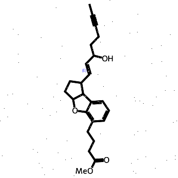 CC#CCCC(O)/C=C/C1CCC2Oc3c(CCCC(=O)OC)cccc3C12